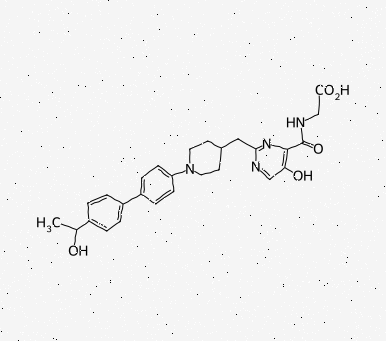 CC(O)c1ccc(-c2ccc(N3CCC(Cc4ncc(O)c(C(=O)NCC(=O)O)n4)CC3)cc2)cc1